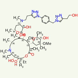 CC[C@H]1OC(=O)[C@H](C)[C@@H](C2C[C@@](C)(OC)[C@@H](O)[C@H](C)O2)[C@H](C)[C@@H](O[C@@H]2O[C@H](C)C[C@H](N(C)CCc3cn(-c4ccc(Cn5cc(CCO)nn5)cc4)nn3)[C@H]2O)[C@](C)(O)C[C@@H](C)CN(C)[C@H](C)[C@@H](O)[C@]1(C)O